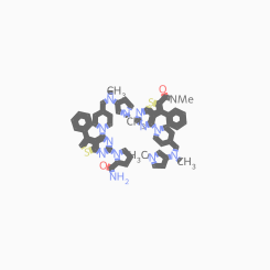 CN1CCC(N(C)CC2CCN(c3nc(N4CCCC4C(N)=O)nc4scc(-c5ccccc5)c34)CC2)C1.CNC(=O)c1sc2ncnc(N3CCC(CN(C)C4CCN(C)C4)CC3)c2c1-c1ccccc1